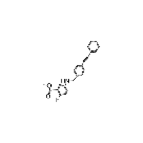 COC(=O)c1cc(NCc2ccc(C#Cc3ccccc3)cc2)ccc1F